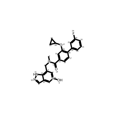 CN(Cc1c[n+](O)cc2cn[nH]c12)C(=O)c1ccc(-c2cccc(F)c2)c(OC2CC2)c1